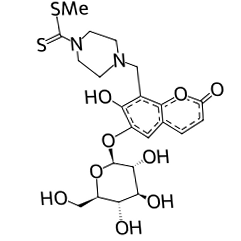 CSC(=S)N1CCN(Cc2c(O)c(O[C@@H]3O[C@H](CO)[C@@H](O)[C@H](O)[C@H]3O)cc3ccc(=O)oc23)CC1